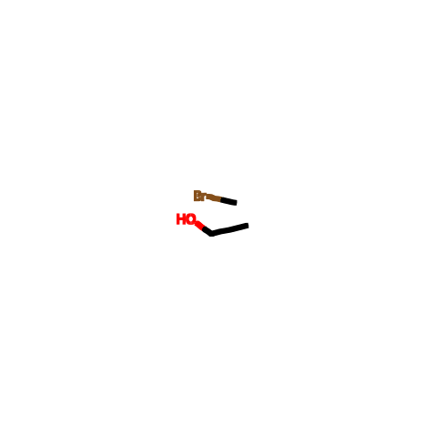 CBr.CCO